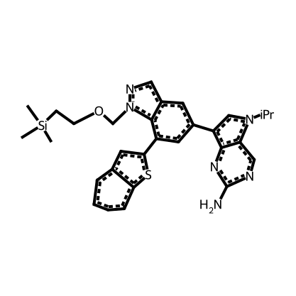 CC(C)n1cc(-c2cc(-c3cc4ccccc4s3)c3c(cnn3COCC[Si](C)(C)C)c2)c2nc(N)ncc21